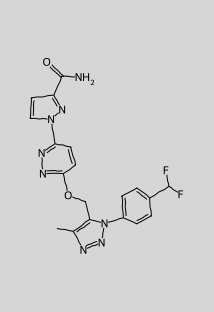 Cc1nnn(-c2ccc(C(F)F)cc2)c1COc1ccc(-n2ccc(C(N)=O)n2)nn1